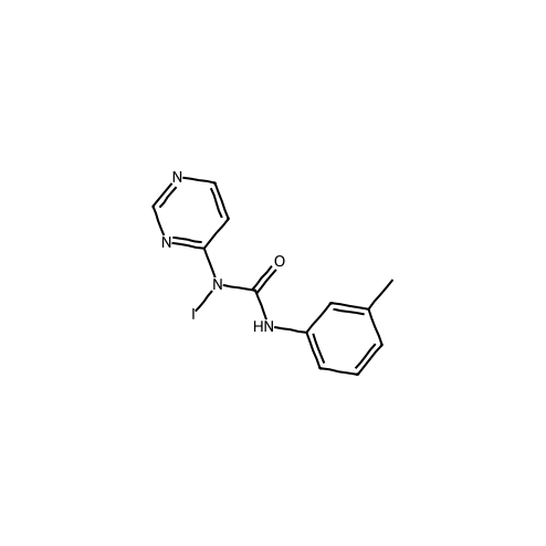 Cc1cccc(NC(=O)N(I)c2ccncn2)c1